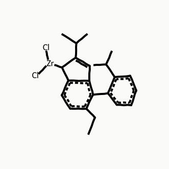 CCc1ccc2c(c1-c1ccccc1C(C)C)C=C(C(C)C)[CH]2[Zr]([Cl])[Cl]